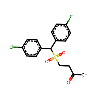 CC(=O)CCS(=O)(=O)C(c1ccc(Cl)cc1)c1ccc(Cl)cc1